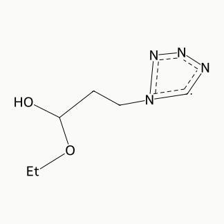 CCOC(O)CCn1[c]nnn1